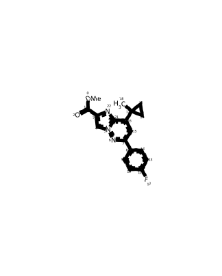 COC(=O)c1cn2nc(-c3ccc(F)cc3)cc(C3(C)CC3)c2n1